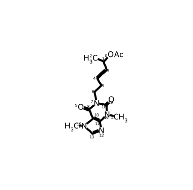 CC(=O)OC(C)/C=C/CCn1c(=O)c2c(ncn2C)n(C)c1=O